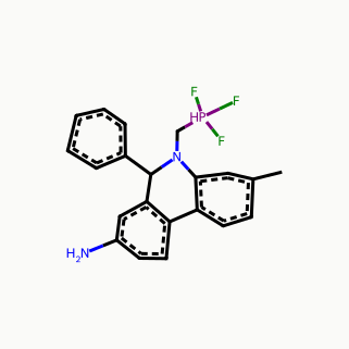 Cc1ccc2c(c1)N(C[PH](F)(F)F)C(c1ccccc1)c1cc(N)ccc1-2